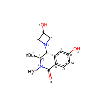 CCCC[C@@H](CN1CC(O)C1)N(C)C(=O)c1ccc(O)cc1